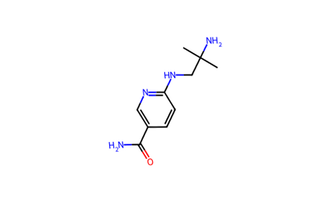 CC(C)(N)CNc1ccc(C(N)=O)cn1